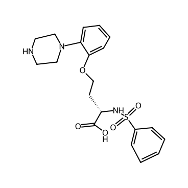 O=C(O)[C@H](CCOc1ccccc1N1CCNCC1)NS(=O)(=O)c1ccccc1